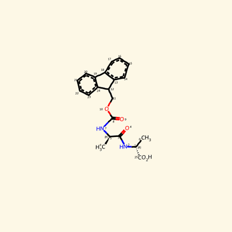 C[C@@H](NC(=O)[C@@H](C)NC(=O)OCC1c2ccccc2-c2ccccc21)C(=O)O